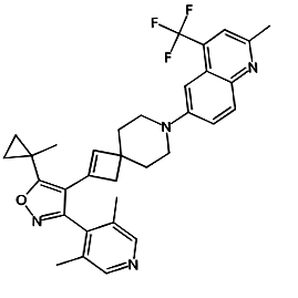 Cc1cc(C(F)(F)F)c2cc(N3CCC4(C=C(c5c(-c6c(C)cncc6C)noc5C5(C)CC5)C4)CC3)ccc2n1